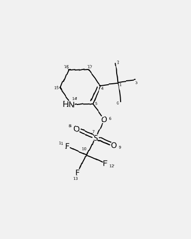 CC(C)(C)C1=C(OS(=O)(=O)C(F)(F)F)NCCC1